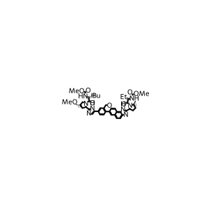 CC[C@H](NC(=O)OC)C(=O)N1C(c2nc3ccc4cc5c(cc4c3[nH]2)OCc2cc(-c3cnc(C4C[C@H](COC)CN4C(=O)[C@@H](NC(=O)OC)[C@@H](C)CC)[nH]3)ccc2-5)CC[C@@H]1C